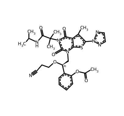 CC(=O)Oc1ccccc1[C@H](Cn1c(=O)n(C(C)(C)C(=O)NC(C)C)c(=O)c2c(C)c(-n3nccn3)sc21)OCCC#N